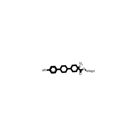 CCCCCCCOC(=O)C1(C)CCC(C2CCC(c3ccc(CCC)cc3)CC2)CC1